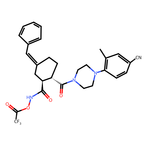 Cc1cc(C#N)ccc1N1CCN(C(=O)[C@H]2CCC(=Cc3ccccc3)C[C@@H]2C(=O)NOC(=O)C(F)(F)F)CC1